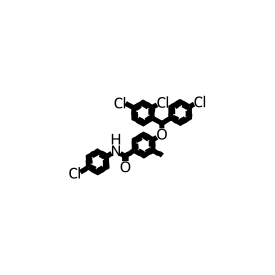 Cc1cc(C(=O)Nc2ccc(Cl)cc2)ccc1OC(c1ccc(Cl)cc1)c1ccc(Cl)cc1Cl